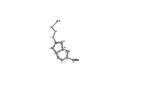 COc1ccc2nc(SCCF)sc2c1